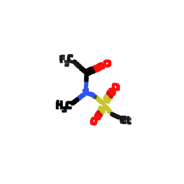 CCS(=O)(=O)N(C)C(=O)C(F)(F)F